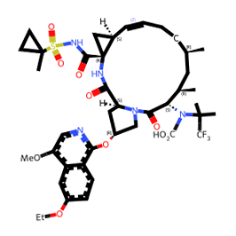 CCOc1ccc2c(O[C@@H]3C[C@H]4C(=O)N[C@]5(C(=O)NS(=O)(=O)C6(C)CC6)C[C@H]5/C=C\CC[C@@H](C)C[C@@H](C)[C@H](N(C(=O)O)C(C)(C)C(F)(F)F)C(=O)N4C3)ncc(OC)c2c1